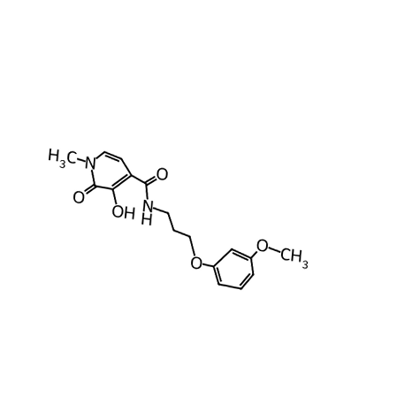 COc1cccc(OCCCNC(=O)c2ccn(C)c(=O)c2O)c1